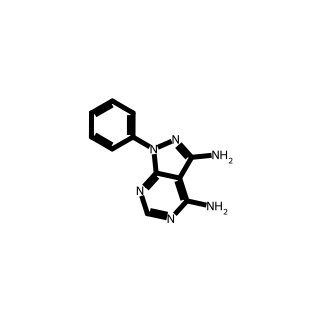 Nc1ncnc2c1c(N)nn2-c1ccccc1